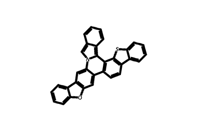 c1ccc2c(c1)cn1c3cc4c(cc3c3ccc5c6ccccc6sc5c3c21)oc1ccccc14